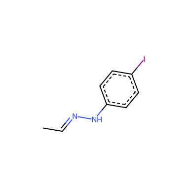 CC=NNc1ccc(I)cc1